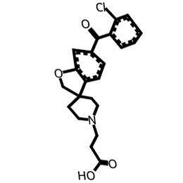 O=C(O)CCN1CCC2(CC1)COc1cc(C(=O)c3ccccc3Cl)ccc12